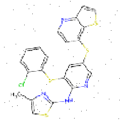 Cc1csc(Nc2ncc(Sc3ccnc4ccsc34)cc2Sc2ccccc2Cl)n1